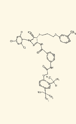 CCC(C)(C)c1ccc(OCC(=O)Nc2cccc(C(=O)NC3=NN(c4c(Cl)cc(Cl)cc4Cl)C(=O)C3SCCCOc3cccc(C)c3)c2)c(C(C)(C)CC)c1